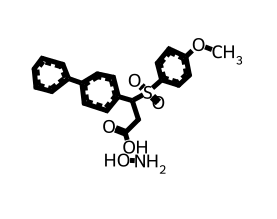 COc1ccc(S(=O)(=O)C(CC(=O)O)c2ccc(-c3ccccc3)cc2)cc1.NO